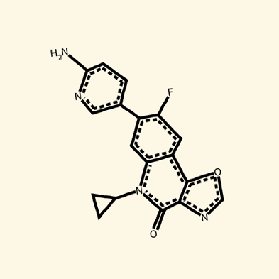 Nc1ccc(-c2cc3c(cc2F)c2ocnc2c(=O)n3C2CC2)cn1